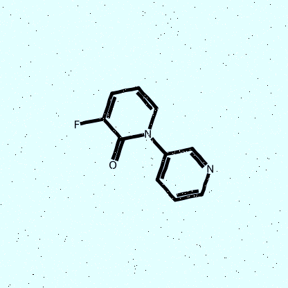 O=c1c(F)cccn1-c1cccnc1